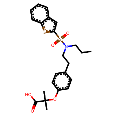 CCCN(CCc1ccc(OC(C)(C)C(=O)O)cc1)S(=O)(=O)c1cc2ccccc2s1